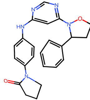 O=C1CCCN1c1ccc(Nc2cc(N3OCCC3c3ccccc3)ncn2)cc1